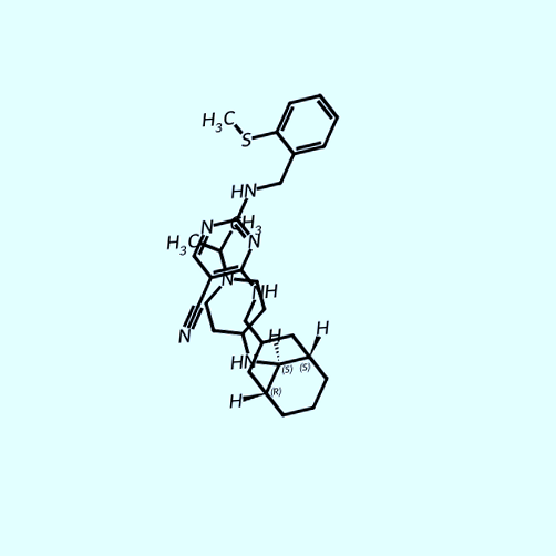 CSc1ccccc1CNc1ncc(C#N)c(NCC2C[C@H]3CCC[C@@H](C2)[C@@H]3NC2CCN(C(C)C)CC2)n1